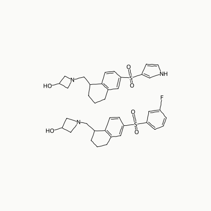 O=S(=O)(c1cc[nH]c1)c1ccc2c(c1)CCCC2CN1CC(O)C1.O=S(=O)(c1cccc(F)c1)c1ccc2c(c1)CCCC2CN1CC(O)C1